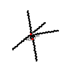 CCCCCCCCCCCCCCCCCCN(CCCCCCCCCCCC)[C@](CCCCCCCCCCCCCCCCCC)(C(=O)O)C(CCCCCCCCCCCCCCCCCC)(CCCCCCCCCCCCCCCCCC)CC(=O)O